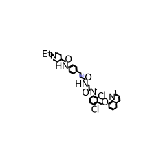 CCN1CCC(C(=O)Nc2ccc(/C=C/C(=O)NCC(=O)N(C)c3ccc(Cl)c(COc4cccc5ccc(C)nc45)c3Cl)cc2)CC1